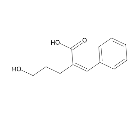 O=C(O)C(=Cc1ccccc1)CCCO